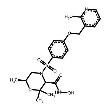 Cc1ncccc1COc1ccc(S(=O)(=O)N2C[C@H](C)OC(C)(C)[C@@H]2C(=O)NO)cc1